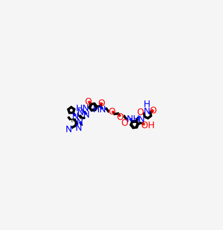 CC[C@@H]1c2c(C#N)ncn2-c2cnc(Nc3ccc(C(=O)NCCOCCOCC(=O)Nc4cccc5c4CN(C4CCC(=O)NC4=O)C5O)cc3OC)nc2N1C1CCCC1